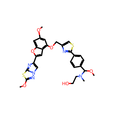 COc1cc(OCc2csc(-c3ccc(C(OC)N(C)CCO)cc3)n2)c2cc(-c3cn4nc(OC)sc4n3)oc2c1